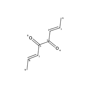 C/C=C/C(=O)C(=O)/C=C/C